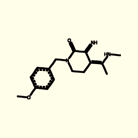 CN/C(C)=C1/CCN(Cc2ccc(OC)cc2)C(=O)C1=N